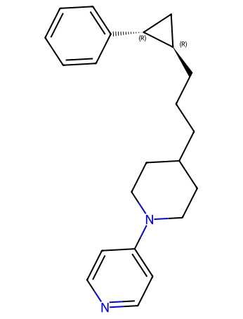 c1ccc([C@@H]2C[C@H]2CCCC2CCN(c3ccncc3)CC2)cc1